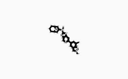 Cc1cc(-c2cc3sc(N(C)C4CC5CCCC(C4)N5)nc3cn2)cc2cn(C)nc12